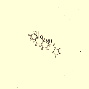 O=c1[nH]c(CC2C=CCC2)ccc1Cc1ncc[nH]1